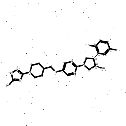 CC(C)c1nc(N2CCC(COc3cnc(N4C[C@H](c5cc(F)ccc5F)[C@@H](N)C4)nc3)CC2)no1